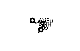 CCC(C)C(NS(=O)(=O)c1ccc(C)cc1)C1=N[C@@H](Cc2ccccc2)CO1